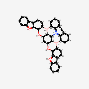 c1ccc2c(c1)oc1c3c(ccc12)B1c2c(cc4c5c2-n2c6c1cccc6c1cccc(c12)B5c1ccc2c(oc5ccccc52)c1O4)O3